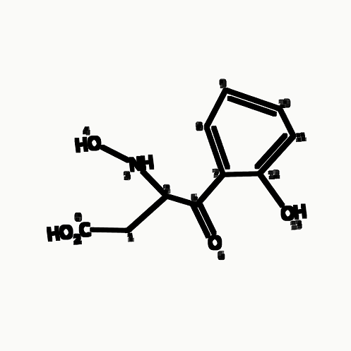 O=C(O)CC(NO)C(=O)c1ccccc1O